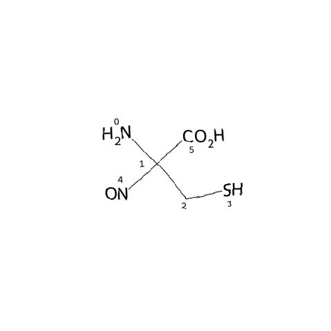 NC(CS)(N=O)C(=O)O